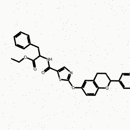 CCOC(=O)C(Cc1ccccc1)NC(=O)c1cnc(Oc2ccc3c(c2)CCC(c2cccnc2)O3)s1